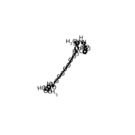 Cc1nc(Nc2ncc(C(=O)Nc3c(C)cccc3Cl)s2)cc(N2CCN(CCOCCOCCOCCOCCOCCOCCOCCNC(=O)c3ccc(B(O)O)c(C)c3)CC2)n1